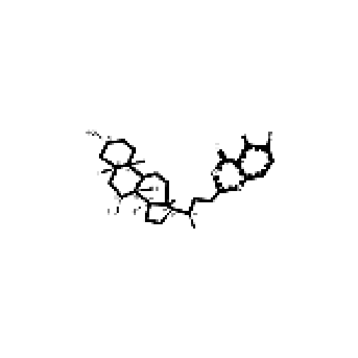 C[C@H](CCc1nc2ccc(F)c(F)c2c(=O)o1)[C@H]1CC[C@H]2[C@H]3C(CC[C@]12C)[C@@]1(C)CC[C@@H](O)C[C@H]1C[C@H]3O